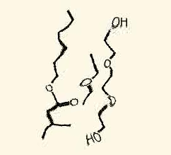 CCCCCCOC(=O)CC(C)C.CCOCC.OCCOCCOCCO